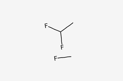 CC(F)F.CF